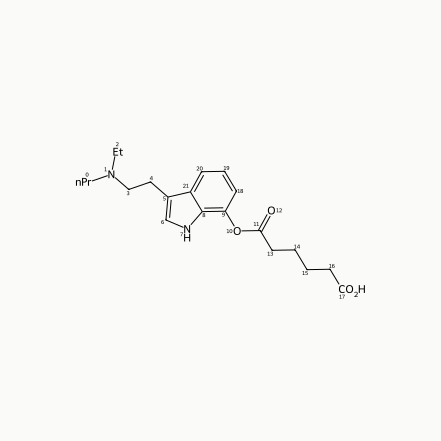 CCCN(CC)CCc1c[nH]c2c(OC(=O)CCCCC(=O)O)cccc12